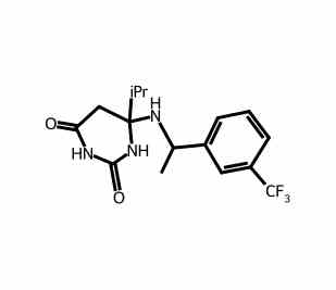 CC(NC1(C(C)C)CC(=O)NC(=O)N1)c1cccc(C(F)(F)F)c1